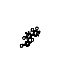 Cc1ccc(Cl)cc1-n1c(=O)c(C2C=NN(C)C(=O)C2=O)nn(C)c1=O